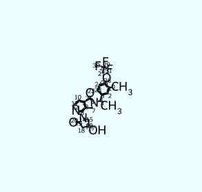 Cc1cc(C(C)N2Cc3c(ccnc3N3C[C@@H](O)CC3=O)C2=O)ccc1OCC(F)(F)F